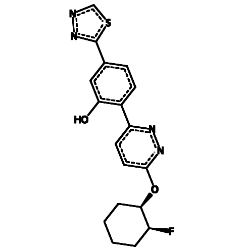 Oc1cc(-c2nncs2)ccc1-c1ccc(O[C@@H]2CCCC[C@@H]2F)nn1